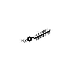 [CH2]c1ccc(CCC(F)(F)C(F)(F)C(F)(F)C(F)(F)C(F)(F)C(F)(F)C(F)(F)C(F)(F)F)cc1